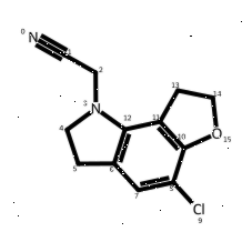 N#CCN1CCc2cc(Cl)c3c(c21)CCO3